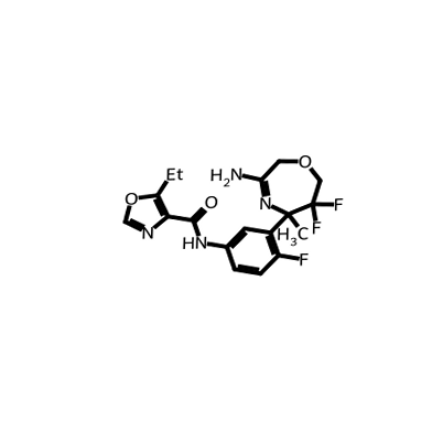 CCc1ocnc1C(=O)Nc1ccc(F)c(C2(C)N=C(N)COCC2(F)F)c1